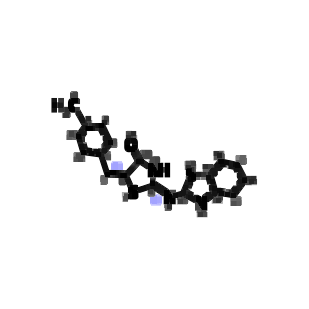 Cc1ccc(/C=C2/S/C(=N/c3nc4ccccc4s3)NC2=O)cc1